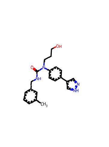 Cc1cccc(CNC(=O)N(CCCO)c2ccc(-c3cn[nH]c3)cc2)c1